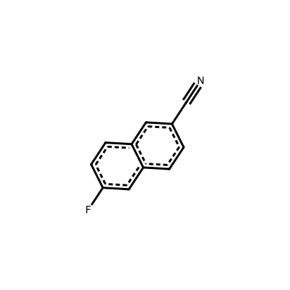 N#Cc1ccc2cc(F)ccc2c1